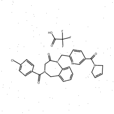 O=C(O)C(F)(F)F.O=C(c1ccc(CN2C(=O)CN(C(=O)c3ccc(Cl)cc3)Cc3ccccc32)nc1)N1CC=CC1